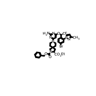 CCOC(=O)[C@@H]1CC2(CCN(c3cc(O[C@H](c4ccc(Br)cc4-n4ccc(C)n4)C(F)(F)F)nc(N)n3)CC2)CN1C(=O)OCc1ccccc1